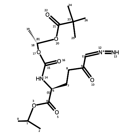 CC(C)OC(=O)[C@H](CCC(=O)C=[N+]=N)NC(=O)O[C@H](C)OC(=O)C(C)(C)C